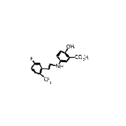 O=C(O)c1cc(NCCc2cc(F)ccc2C(F)(F)F)ccc1O